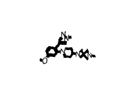 COc1ccc(-c2cnn(C)c2)c(N2CCC(N3CC4(CN(C)C4)C3)CC2)c1